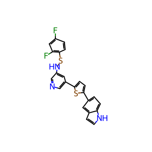 Fc1ccc(SNc2cncc(-c3ccc(-c4ccc5[nH]ccc5c4)s3)c2)c(F)c1